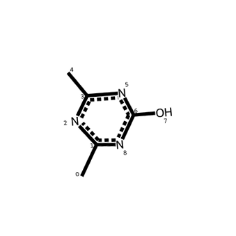 Cc1nc(C)nc(O)n1